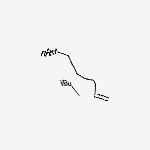 C=CCCCCCCCC.CCC(C)C